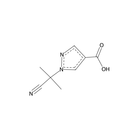 CC(C)(C#N)n1cc(C(=O)O)cn1